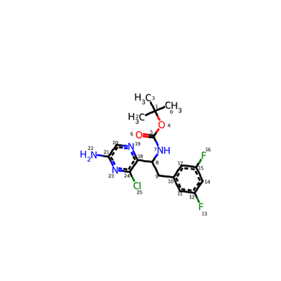 CC(C)(C)OC(=O)NC(Cc1cc(F)cc(F)c1)c1ncc(N)nc1Cl